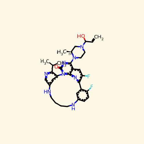 C=CC(O)N1CCN(c2nc(=O)n3c4nc(c(F)cc24)-c2cc(ccc2F)NCCCCNc2cnc(C(C)C)c-3c2)[C@@H](C)C1